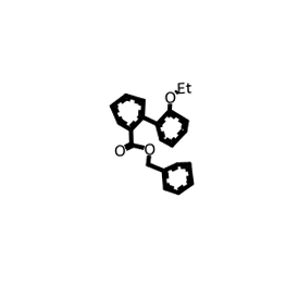 CCOc1ccccc1-c1ccccc1C(=O)OCc1ccccc1